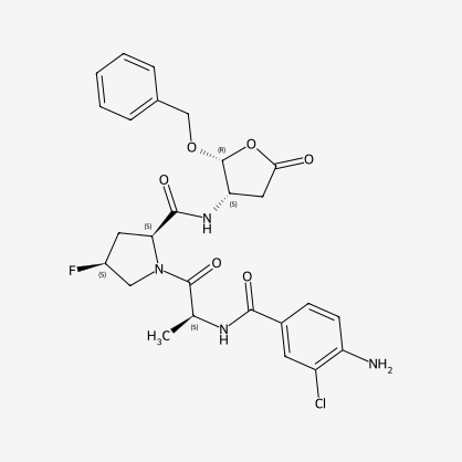 C[C@H](NC(=O)c1ccc(N)c(Cl)c1)C(=O)N1C[C@@H](F)C[C@H]1C(=O)N[C@H]1CC(=O)O[C@H]1OCc1ccccc1